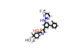 Cc1ccccc1-c1cc(Nc2nccc(C(F)(F)F)n2)cc(-c2cnc([C@@]3(O)CC[C@@H](C(=O)O)C(C)(C)C3)s2)c1